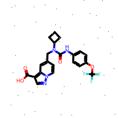 O=C(O)c1cnn2ccc(CN(C(=O)Nc3ccc(OC(F)(F)F)cc3)C3CCC3)cc12